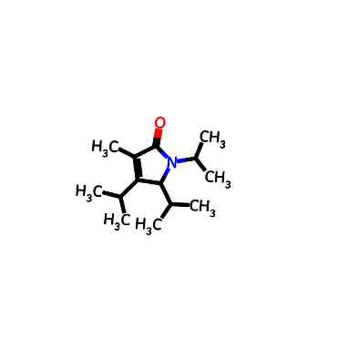 CC1=C(C(C)C)C(C(C)C)N(C(C)C)C1=O